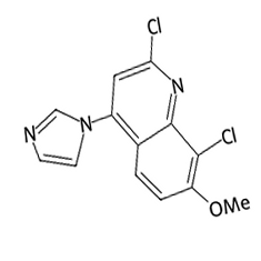 COc1ccc2c(-n3ccnc3)cc(Cl)nc2c1Cl